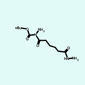 CCCCOC(=O)N(N)C(=O)CCCCC(=O)NN